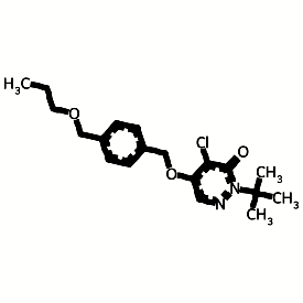 CCCOCc1ccc(COc2cnn(C(C)(C)C)c(=O)c2Cl)cc1